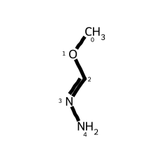 CO/C=N/N